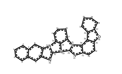 c1ccc2cc3c(cc2c1)nc1n3c2cccc3c2n1c1nc2ccc4oc5ccccc5c4c2n31